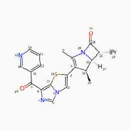 CC1=C(c2cn3cnc(C(=O)c4cccnc4)c3s2)[C@H](C)[C@@H]2[C@@H](C(C)C)C(=O)N12